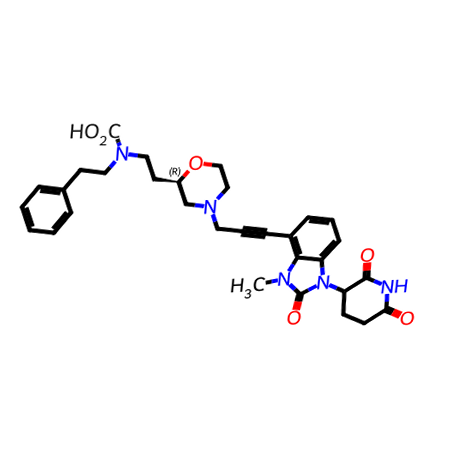 Cn1c(=O)n(C2CCC(=O)NC2=O)c2cccc(C#CCN3CCO[C@H](CCN(CCc4ccccc4)C(=O)O)C3)c21